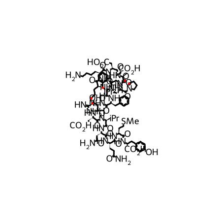 CSCC[C@H](NC(=O)[C@H](CCC(N)=O)NC(=O)[C@H](CC(N)=O)NC(=O)[C@@H](NC(=O)[C@H](CC(=O)O)NC(=O)[C@@H](NC(=O)[C@H](Cc1ccccc1)NC(=O)[C@H](Cc1ccccc1)NC(=O)[C@H](CCC(=O)O)NC(=O)[C@@H]1CCCN1C(=O)[C@H](CC(C)C)NC(=O)[C@H](C)NC(=O)[C@H](CC(=O)O)NC(=O)[C@H](CCCCN)NC(=O)[C@@H](N)CCCNC(=N)N)[C@@H](C)O)C(C)C)C(=O)N[C@@H](Cc1ccc(O)cc1)C(=O)O